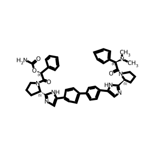 CN(C)[C@@H](C(=O)N1CCC[C@H]1c1ncc(-c2ccc(-c3ccc(-c4cnc([C@@H]5CCCN5C(=O)[C@H](OC(N)=O)c5ccccc5)[nH]4)cc3)cc2)[nH]1)c1ccccc1